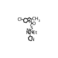 CCn1c(SCC(=O)n2c(C)cc3cc(Cl)ccc32)nnc1-c1cccnc1